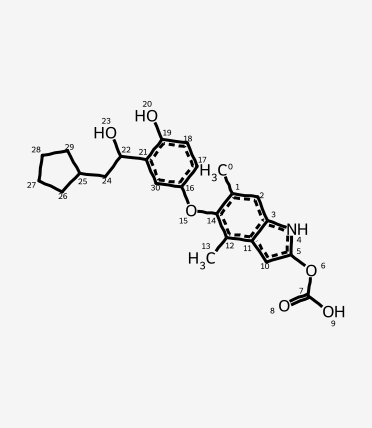 Cc1cc2[nH]c(OC(=O)O)cc2c(C)c1Oc1ccc(O)c(C(O)CC2CCCC2)c1